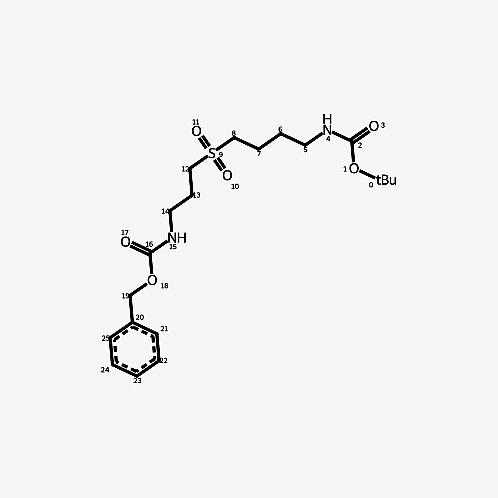 CC(C)(C)OC(=O)NCCCCS(=O)(=O)CCCNC(=O)OCc1ccccc1